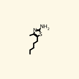 CCCCCc1sc(N)nc1C